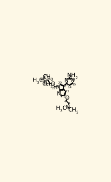 CN(C)CCOc1cnc2c(c1)c(-c1ccnc(N)n1)cn2COCC[Si](C)(C)C